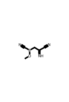 COB(C#N)CC(=N)C#N